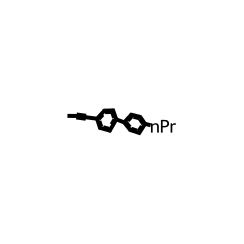 CC#Cc1ccc(-c2ccc(CCC)cc2)cc1